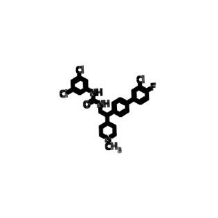 CN1CCC(C(CNC(=O)Nc2cc(Cl)cc(Cl)c2)c2ccc(-c3ccc(F)c(Cl)c3)cc2)CC1